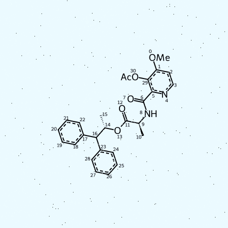 COc1ccnc(C(=O)N[C@@H](C)C(=O)O[C@@H](C)C(c2ccccc2)c2ccccc2)c1OC(C)=O